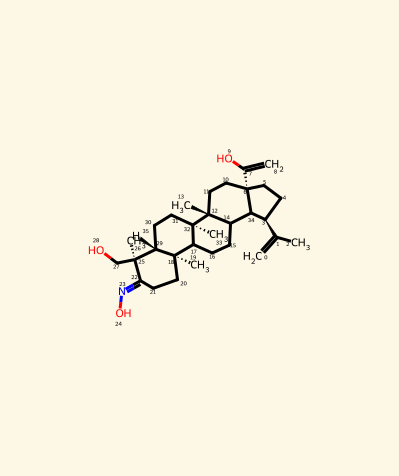 C=C(C)[C@@H]1CC[C@]2(C(=C)O)CC[C@]3(C)C(CCC4[C@@]5(C)CC/C(=N\O)[C@@](C)(CO)[C@@H]5CC[C@]43C)C12